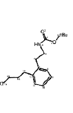 CCCCOC(=O)NCCc1ccccc1CCCCl